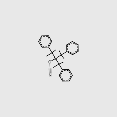 CC(C)(c1ccccc1)[Si](OC#N)(C(C)(C)c1ccccc1)C(C)(C)c1ccccc1